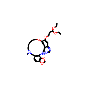 CCOC(CCOc1cc2ncnc3c2cc1OCCCCCN(C)Cc1ccc2c(c1N3)OCO2)OCC